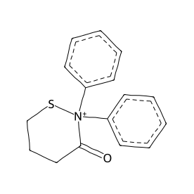 O=C1CCCS[N+]1(c1ccccc1)c1ccccc1